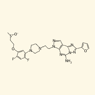 C[S+]([O-])CCOc1cc(N2CCN(CCn3ncc4c3nc(N)n3nc(-c5ccco5)nc43)CC2)c(F)cc1F